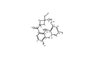 CCC1(O)CN(C(=O)c2ccc(F)c(F)c2Nc2ccc(C)cc2F)C1